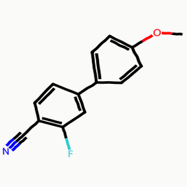 COc1ccc(-c2ccc(C#N)c(F)c2)cc1